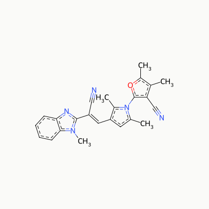 Cc1oc(-n2c(C)cc(/C=C(\C#N)c3nc4ccccc4n3C)c2C)c(C#N)c1C